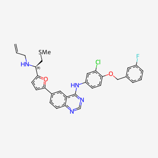 C=CCN[C@@H](CSC)c1ccc(-c2ccc3ncnc(Nc4ccc(OCc5cccc(F)c5)c(Cl)c4)c3c2)o1